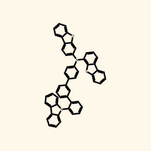 c1cc(-c2ccc(N(c3ccc4c(c3)oc3ccccc34)c3cccc4c3sc3ccccc34)cc2)cc(-c2ccccc2-n2c3ccccc3c3ccccc32)c1